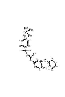 CC(C)(/C=C(\F)Cc1ccc(F)c(Oc2ccccc2)c1)c1ccc(OC(F)(F)F)cc1